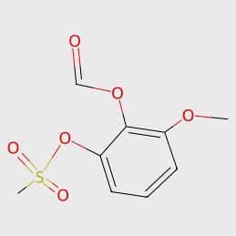 COc1cccc(OS(C)(=O)=O)c1OC=O